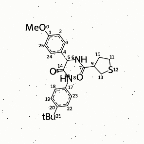 COc1ccc(C(NC(=O)C2CCSC2)C(=O)Nc2ccc(C(C)(C)C)cc2)cc1